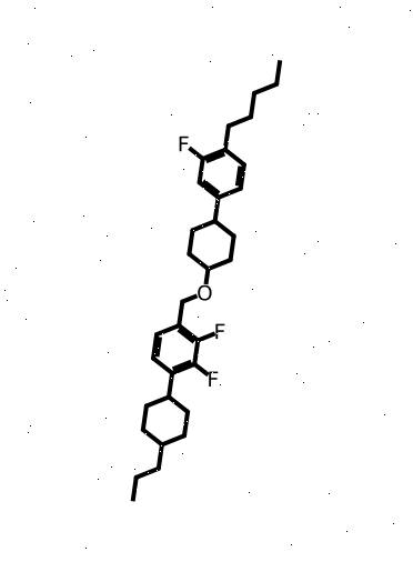 CCCCCc1ccc(C2CCC(OCc3ccc(C4CCC(CCC)CC4)c(F)c3F)CC2)cc1F